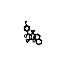 O=C(NC1(C2=NC3(OCC4CC4)CCCC=C3C=C2)CC1)c1ccc(F)cc1